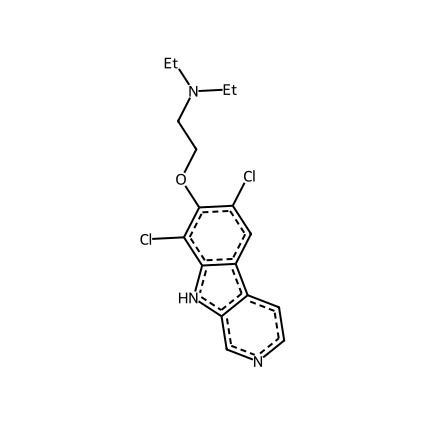 CCN(CC)CCOc1c(Cl)cc2c([nH]c3cnccc32)c1Cl